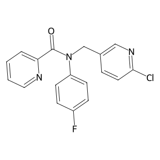 O=C(c1ccccn1)N(Cc1ccc(Cl)nc1)c1ccc(F)cc1